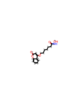 O=C(CCCCCCOc1cc(=O)oc2ccccc12)NO